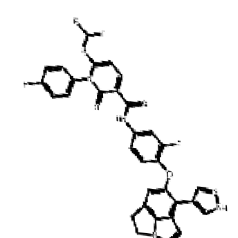 O=C(Nc1ccc(Oc2cc3c4c(cnn4CC3)c2-c2cn[nH]c2)c(F)c1)c1ccc(OC(F)F)n(-c2ccc(F)cc2)c1=O